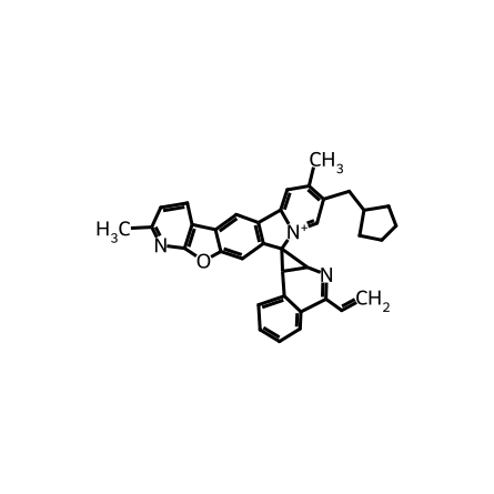 C=CC1=NC2C(c3ccccc31)C21c2cc3oc4nc(C)ccc4c3cc2-c2cc(C)c(CC3CCCC3)c[n+]21